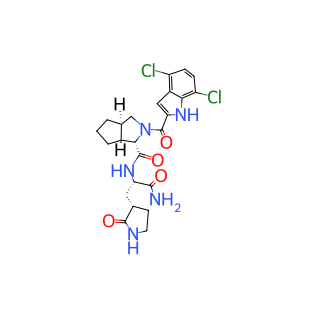 NC(=O)[C@H](C[C@@H]1CCNC1=O)NC(=O)[C@@H]1[C@H]2CCC[C@H]2CN1C(=O)c1cc2c(Cl)ccc(Cl)c2[nH]1